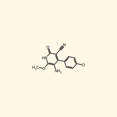 COc1[nH]c(=O)c(C#N)c(-c2ccc(Cl)cc2)c1N